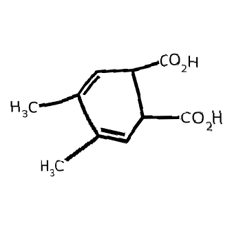 CC1=CC(C(=O)O)C(C(=O)O)C=C1C